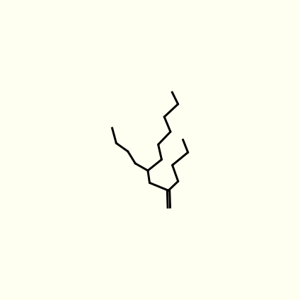 C=C(CCCC)CC(CCCC)CCCCCC